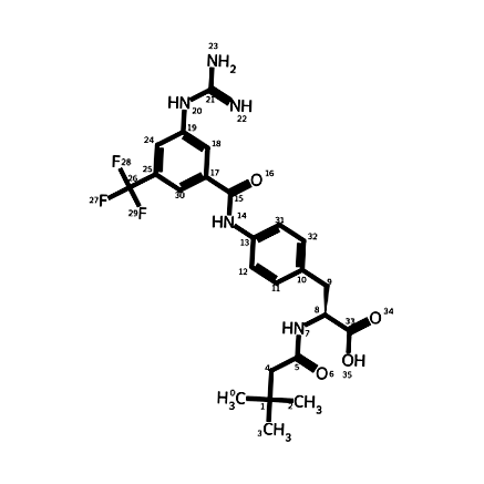 CC(C)(C)CC(=O)N[C@@H](Cc1ccc(NC(=O)c2cc(NC(=N)N)cc(C(F)(F)F)c2)cc1)C(=O)O